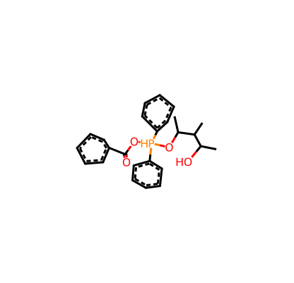 CC(O)C(C)C(C)O[PH](OC(=O)c1ccccc1)(c1ccccc1)c1ccccc1